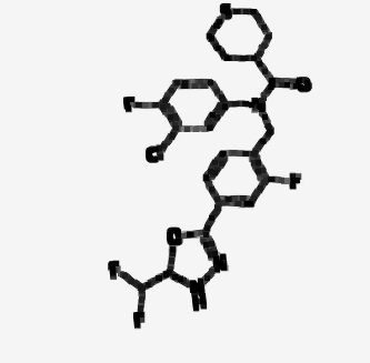 O=C(C1CCSCC1)N(Cc1ccc(C2=NNC(C(F)F)O2)cc1F)c1ccc(F)c(Cl)c1